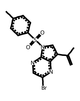 C=C(C)c1cn(S(=O)(=O)c2ccc(C)cc2)c2ncc(Br)nc12